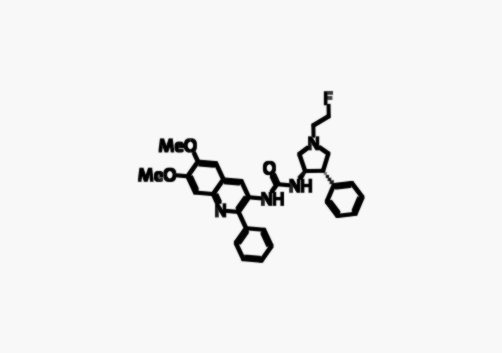 COc1cc2cc(NC(=O)N[C@H]3CN(CCF)C[C@@H]3c3ccccc3)c(-c3ccccc3)nc2cc1OC